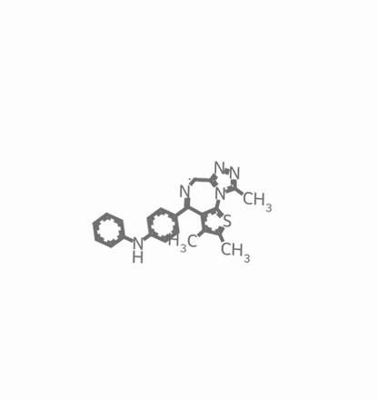 Cc1sc2c(c1C)C(c1ccc(Nc3ccccc3)cc1)=N[CH]c1nnc(C)n1-2